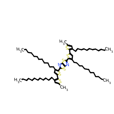 CCCCCCCCCCCCc1cc(C)sc1-c1cc(CCCCCCCCCCCC)c(-c2nc3sc(-c4sc(-c5sc(C)cc5CCCCCCCCCCCC)cc4CCCCCCCCCCCC)nc3s2)s1